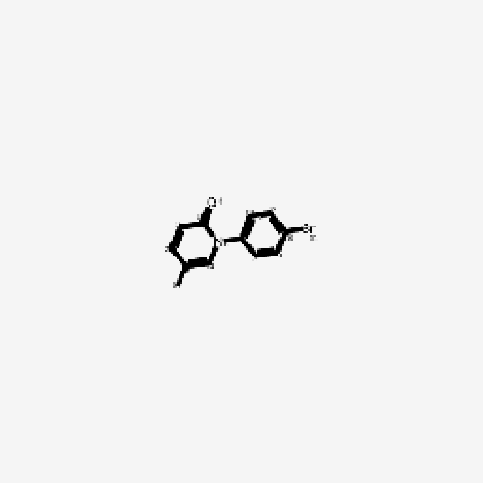 Cc1ccc(=O)n(-c2ccc(Br)cc2)c1